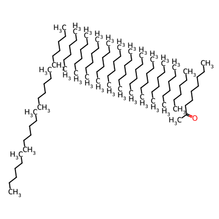 CCCCCC.CCCCCC.CCCCCC.CCCCCC.CCCCCC.CCCCCC.CCCCCC.CCCCCC.CCCCCC.CCCCCC.CCCCCC.CCCCCC.CCCCCC.CCCCCC.CCCCCC.CCCCCCCC(C)=O